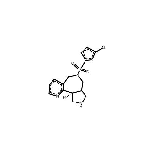 O=S(=O)(c1ccc(Cl)s1)N1Cc2cccnc2[C@@H]2CNCC2C1